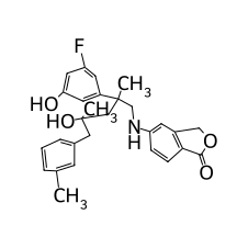 Cc1cccc(CC(C)(O)CC(C)(CNc2ccc3c(c2)COC3=O)c2cc(O)cc(F)c2)c1